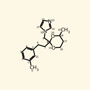 Cc1cccc(CCC2(Cn3ccnc3)OCCC(C)O2)c1